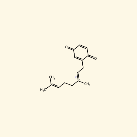 CC(C)=CCC/C(C)=C/CC1=CC(=O)C=CC1=O